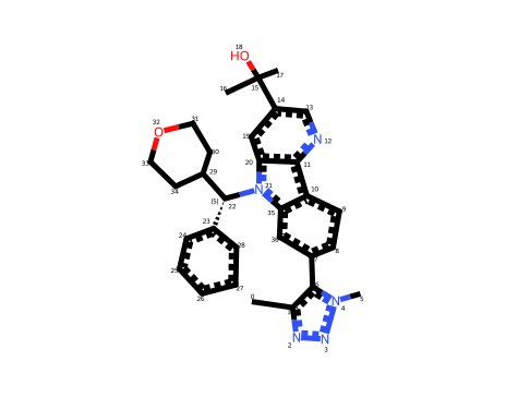 Cc1nnn(C)c1-c1ccc2c3ncc(C(C)(C)O)cc3n([C@H](c3ccccc3)C3CCOCC3)c2c1